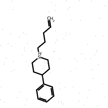 C=CCCC[SiH]1CCC(c2ccccc2)CC1